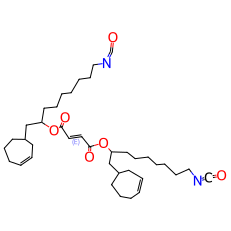 O=C=NCCCCCCCC(CC1CC=CCCC1)OC(=O)/C=C/C(=O)OC(CCCCCCCN=C=O)CC1CC=CCCC1